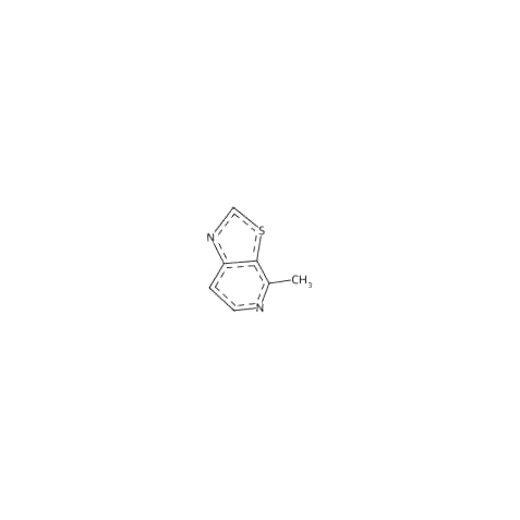 Cc1nccc2ncsc12